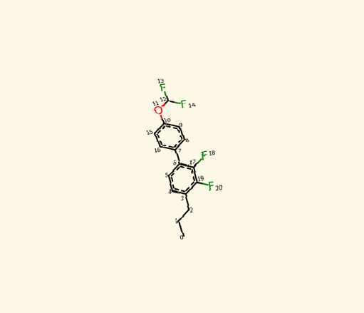 CCCc1ccc(-c2ccc(OC(F)F)cc2)c(F)c1F